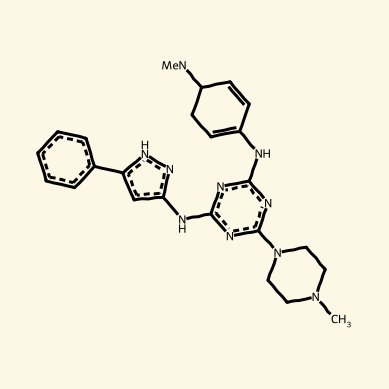 CNC1C=CC(Nc2nc(Nc3cc(-c4ccccc4)[nH]n3)nc(N3CCN(C)CC3)n2)=CC1